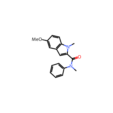 COc1ccc2c(c1)cc(C(=O)N(C)c1ccccc1)n2C